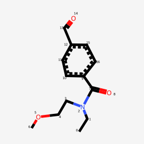 CCN(CCOC)C(=O)c1ccc(C=O)cc1